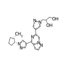 C[C@H]1CCC[C@H]1n1cc(-c2nc(-c3cnn(CC(O)CO)c3)cn3nccc23)cn1